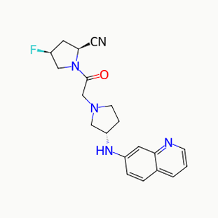 N#C[C@@H]1C[C@H](F)CN1C(=O)CN1CC[C@H](Nc2ccc3cccnc3c2)C1